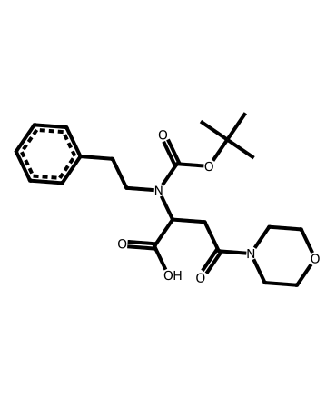 CC(C)(C)OC(=O)N(CCc1ccccc1)C(CC(=O)N1CCOCC1)C(=O)O